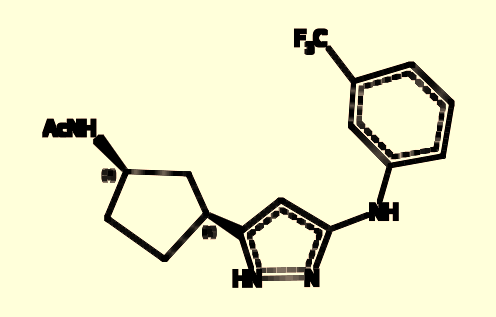 CC(=O)N[C@@H]1CC[C@H](c2cc(Nc3cccc(C(F)(F)F)c3)n[nH]2)C1